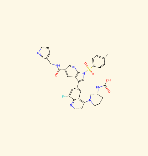 Cc1ccc(S(=O)(=O)n2cc(-c3cc(F)c4nccc(N5CCC[C@@H](NC(=O)O)C5)c4c3)c3cc(C(=O)NCc4cccnc4)cnc32)cc1